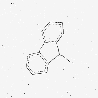 [CH]C1c2ccccc2-c2ccccc21